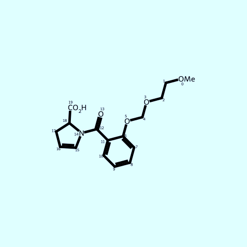 COCCOCOc1ccccc1C(=O)N1C=CCC1C(=O)O